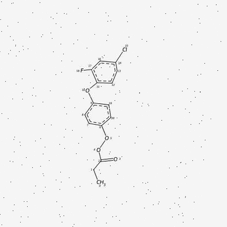 CCC(=O)OOc1ccc(Oc2ccc(Cl)cc2F)cc1